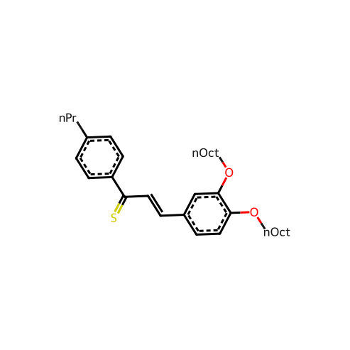 CCCCCCCCOc1ccc(C=CC(=S)c2ccc(CCC)cc2)cc1OCCCCCCCC